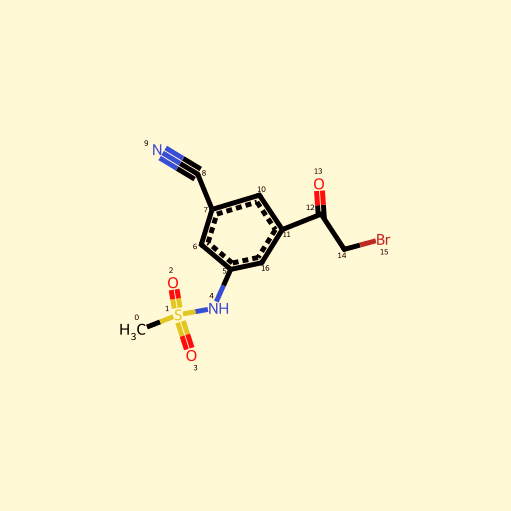 CS(=O)(=O)Nc1cc(C#N)cc(C(=O)CBr)c1